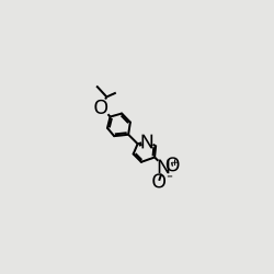 CC(C)Oc1ccc(-c2ccc([N+](=O)[O-])cn2)cc1